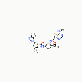 CCNc1ncnc2c(C(=O)Nc3cc(NC(=O)c4cc(-n5cnc(C)c5)cc(C(F)(F)F)c4)ccc3C)csc12